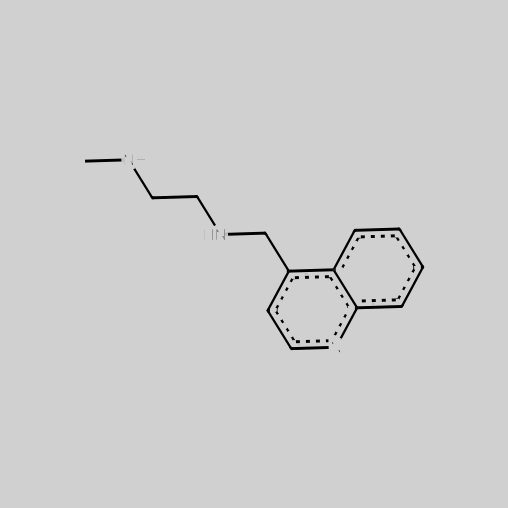 CNCCNCc1ccnc2ccccc12